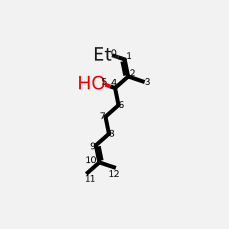 CCC=C(C)C(O)CCCC=C(C)C